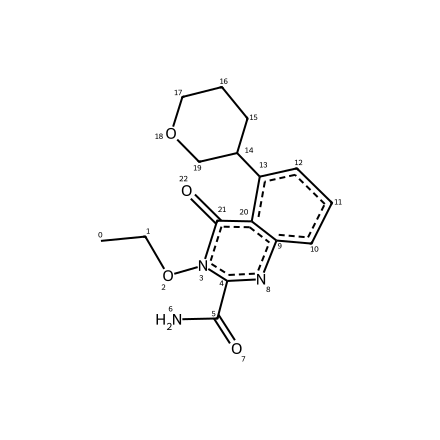 CCOn1c(C(N)=O)nc2cccc(C3CCCOC3)c2c1=O